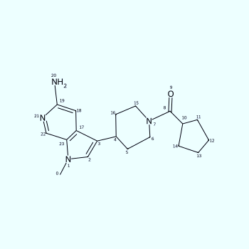 Cn1cc(C2CCN(C(=O)C3CCCC3)CC2)c2cc(N)ncc21